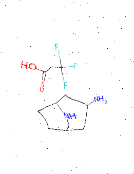 NC1CC2CCC(C1)N2.O=C(O)C(F)(F)F